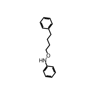 c1ccc(CCCCONc2ccccc2)cc1